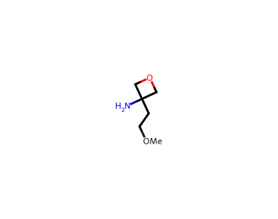 COCCC1(N)COC1